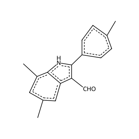 Cc1ccc(-c2[nH]c3c(C)cc(C)cc3c2C=O)cc1